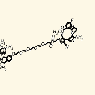 CN[C@@H](C)C(=O)N[C@H](C(=O)N1Cc2cc(OCCOCCOCCOCCOCCC(=O)NCCn3nc(C#N)c4c3CN(C)C(=O)c3ccc(F)cc3[C@H]3CCCN3c3cc-4cnc3N)ccc2C[C@H]1C(N)=O)C(C)(C)C